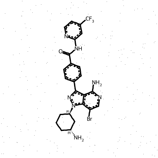 Nc1ncc(Br)c2c1c(-c1ccc(C(=O)Nc3cc(C(F)(F)F)ccn3)cc1)nn2[C@@H]1CCC[C@@H](N)C1